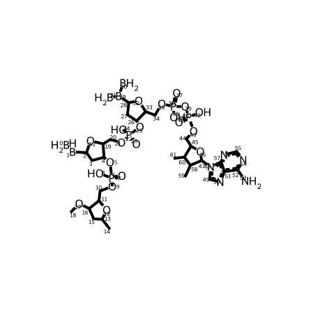 BBC1CC(OP(=O)(O)OCC2OC(C)CC2OC)C(COP(=O)(O)OC2CC(B(B)B)OC2COP(=O)(O)OP(=O)(O)OCC2OC(n3cnc4c(N)ncnc43)C(C)C2C)O1